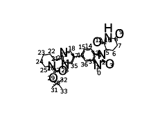 Cn1c(=O)n(C2CCC(=O)NC2=O)c2ccc(-c3cnc(C4CCCCN4C(=O)OC(C)(C)C)nc3)cc21